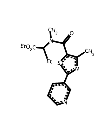 CCOC(=O)C(CC)N(C)C(=O)c1sc(-c2cccnc2)nc1C